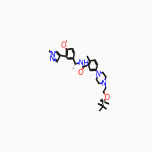 COc1ccc([C@@H](C)NC(=O)c2cc(N3CCN(CCO[Si](C)(C)C(C)(C)C)CC3)ccc2C)cc1-c1cnn(C)c1